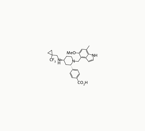 COc1cc(C)c2[nH]ccc2c1CN1CC[C@H](NCC2(C(F)(F)F)CC2)C[C@H]1c1ccc(C(=O)O)cc1